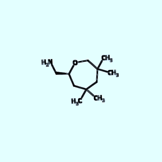 CC1(C)CO[C@H](CN)CC(C)(C)C1